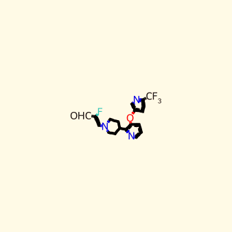 O=CC(F)=CN1CCC(c2ncccc2Oc2ccc(C(F)(F)F)nc2)CC1